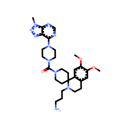 COc1cc2c(cc1OC)C1(CCN(C(=O)N3CCN(c4ncnc5c4nnn5C)CC3)CC1)N(CCCN)CC2